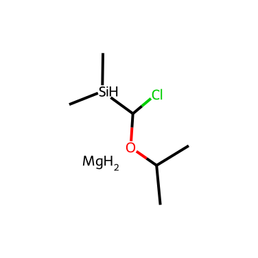 CC(C)OC(Cl)[SiH](C)C.[MgH2]